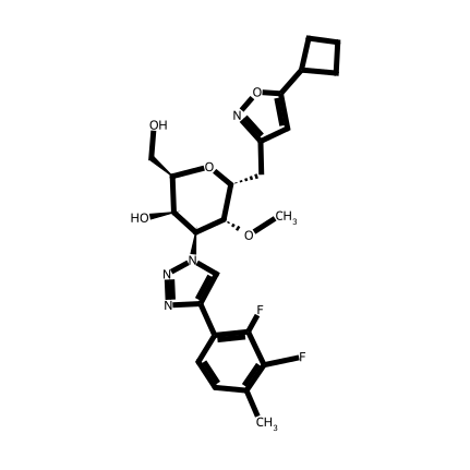 CO[C@@H]1[C@@H](n2cc(-c3ccc(C)c(F)c3F)nn2)[C@@H](O)[C@@H](CO)O[C@@H]1Cc1cc(C2CCC2)on1